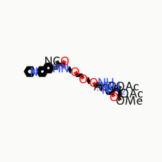 COC1OC(CN(N)/C=C(\N)COCCOCCOCCNC(=O)/C(C#N)=C/c2ccc3cc(N4CCCCC4)ccc3c2)C(OC(C)=O)C(OC(C)=O)C1OC(C)=O